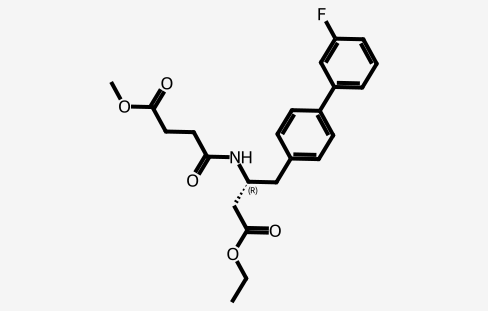 CCOC(=O)C[C@@H](Cc1ccc(-c2cccc(F)c2)cc1)NC(=O)CCC(=O)OC